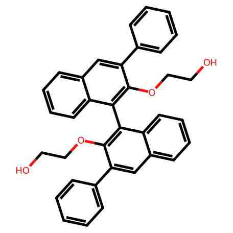 OCCOc1c(-c2ccccc2)cc2ccccc2c1-c1c(OCCO)c(-c2ccccc2)cc2ccccc12